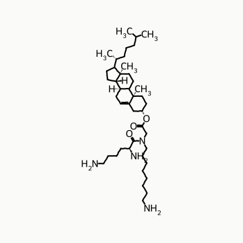 CC(C)CCC[C@@H](C)C1CC[C@H]2[C@@H]3CC=C4C[C@@H](OC(=O)CN(CCCCCCCCN)C(=O)[C@@H](N)CCCCN)CC[C@]4(C)C3CC[C@]12C